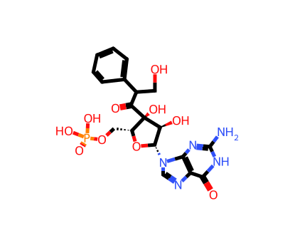 Nc1nc2c(ncn2[C@@H]2O[C@H](COP(=O)(O)O)[C@](O)(C(=O)C(CO)c3ccccc3)[C@H]2O)c(=O)[nH]1